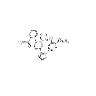 COc1ccc(-c2ccnn2-c2ccc(-c3ccccc3C(N)=O)cc2)cc1O[C@@H]1CCOC1